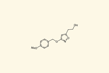 COc1ccc(COc2cc(CCO)on2)cc1